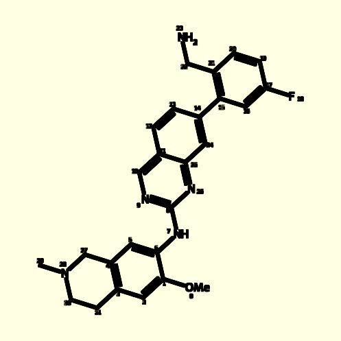 COc1cc2c(cc1Nc1ncc3ccc(-c4cc(F)ccc4CN)cc3n1)CN(C)CC2